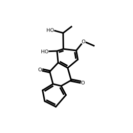 COc1cc2c(c(O)c1C(C)O)C(=O)c1ccccc1C2=O